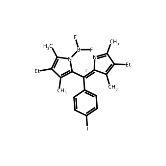 CCC1=C(C)/C(=C(\c2ccc(I)cc2)c2c(C)c(CC)c(C)n2B(F)F)N=C1C